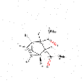 COC(=O)C1(C)[C@H]2C[C@@H](C(C)=C2C)C1(C)C(=O)OC